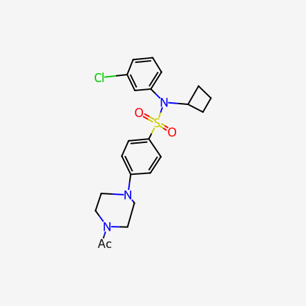 CC(=O)N1CCN(c2ccc(S(=O)(=O)N(c3cccc(Cl)c3)C3CCC3)cc2)CC1